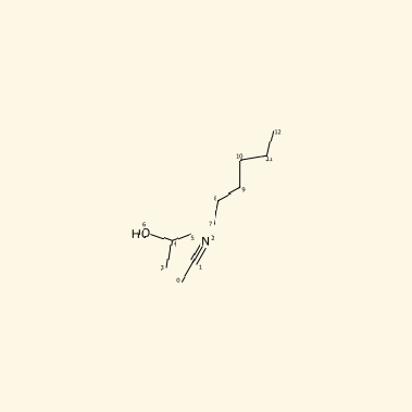 CC#N.CC(C)O.CCCCCC